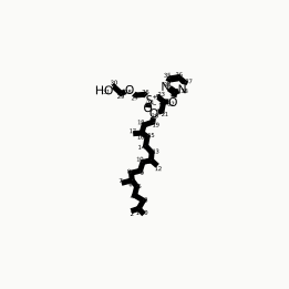 CC(C)CCCC(C)CCCC(C)CCCC(C)CCOCC(C[S+]([O-])CCOCCO)Oc1ncccn1